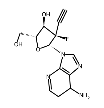 C#C[C@@]1(F)[C@H](O)[C@@H](CO)O[C@H]1n1cnc2c1N=CCC2N